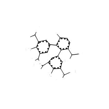 Cc1ccc(C(C)C)c(-c2cc(C(C)C)c(N)c(C(C)C)c2)c1-c1cc(C(C)C)c(N)c(C(C)C)c1